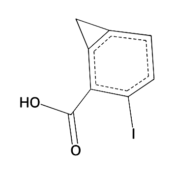 O=C(O)c1c(I)ccc2c1C2